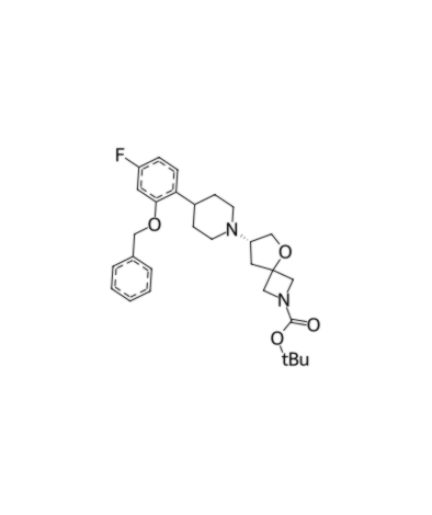 CC(C)(C)OC(=O)N1CC2(C[C@H](N3CCC(c4ccc(F)cc4OCc4ccccc4)CC3)CO2)C1